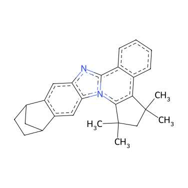 CC1(C)CC(C)(C)c2c1c1ccccc1c1nc3cc4c(cc3n21)C1CCC4C1